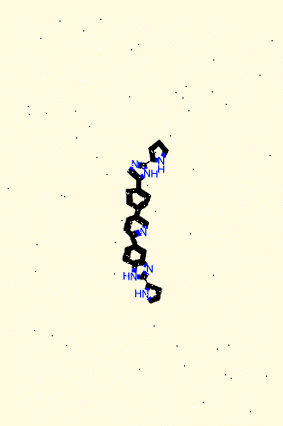 c1cc(-c2cnc([C@@H]3CCCN3)[nH]2)ccc1-c1ccc(-c2ccc3[nH]c([C@@H]4CCCN4)nc3c2)nc1